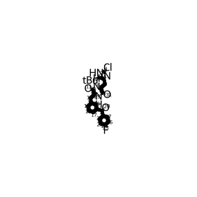 CC(C)(C)c1[nH]c(Cl)nc1C=c1[nH]c(=O)c(=Cc2cccc(C(=O)c3ccc(F)cc3)c2)[nH]c1=O